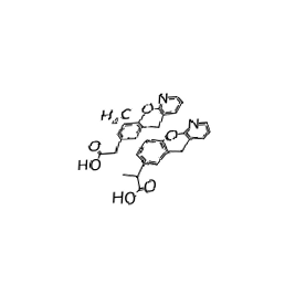 C.CC(C(=O)O)c1ccc2c(c1)Cc1cccnc1O2.O=C(O)Cc1ccc2c(c1)Cc1cccnc1O2